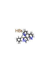 Br.c1ccc(Cc2ncccc2-c2ncccc2-c2cccnc2)cc1